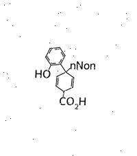 CCCCCCCCCC1(c2ccccc2O)C=CC(C(=O)O)C=C1